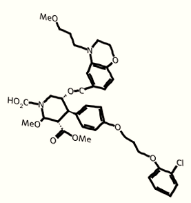 COCCCN1CCOc2ccc(CO[C@H]3CN(C(=O)O)C(OC)[C@@H](C(=O)OC)[C@@H]3c3ccc(OCCCOc4ccccc4Cl)cc3)cc21